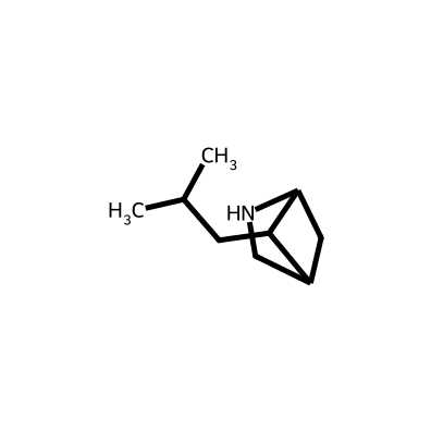 CC(C)CC1C2CNC1C2